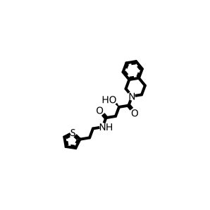 O=C(C[C@@H](O)C(=O)N1CCc2ccccc2C1)NCCc1cccs1